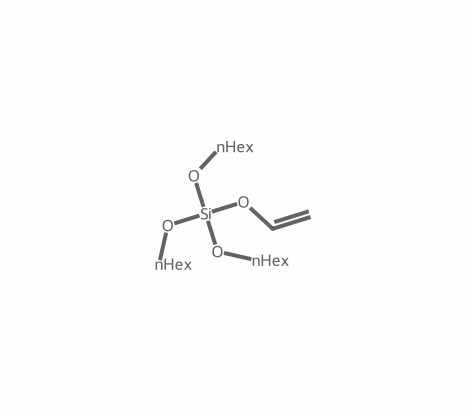 C=CO[Si](OCCCCCC)(OCCCCCC)OCCCCCC